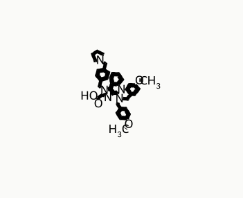 COc1ccc(CN(Cc2ccc(OC)cc2)c2nc3ccccc3c3c2nc(C(=O)O)n3Cc2ccc(CN3CCCC3)cc2)cc1